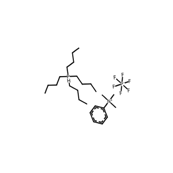 CCCC[PH](CCCC)(CCCC)CCCC.C[N+](C)(C)c1ccccc1.F[P-](F)(F)(F)(F)F